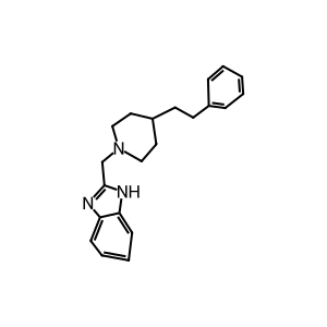 c1ccc(CCC2CCN(Cc3nc4ccccc4[nH]3)CC2)cc1